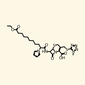 CCOC(=O)CCCCCCCCC(C(=O)NC1C(=O)N2C(C(=O)O)=C(CSc3nnnn3C)CSC12)n1cccc1